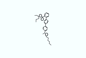 CCCCCCOC(C)c1ccc(-c2ccc(-c3ccccc3C(=O)OC(CC)CCC)cc2)cc1